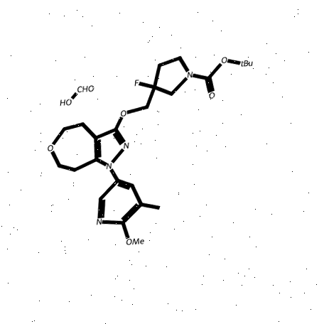 COc1ncc(-n2nc(OCC3(F)CCN(C(=O)OC(C)(C)C)C3)c3c2CCOCC3)cc1C.O=CO